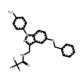 Cc1ccc(-n2nc(CNC(=O)C(F)(F)F)c3cc(OCc4ccccc4)ccc32)cc1